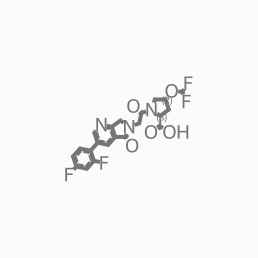 O=C(O)[C@@H]1C[C@@H](OC(F)F)CN1C(=O)CN1Cc2ncc(-c3ccc(F)cc3F)cc2C1=O